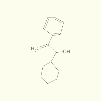 C=C(c1ccccc1)C(O)C1CCCCC1